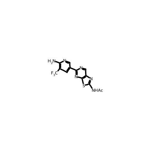 CC(=O)Nc1nc2cnc(-c3cnc(N)c(C(F)(F)F)c3)nc2s1